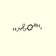 Bc1ccc(OC(N)=O)cc1